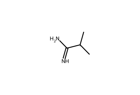 C[C](C)C(=N)N